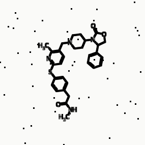 CNC(=O)Cc1ccc(Sc2ccc(CN3CCC(N4C(=O)OCC4c4ccccc4)CC3)c(C)n2)cc1